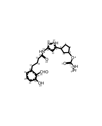 CC(C)NC(=O)OC1CCC(c2cc(NC(=O)CCCc3cccc(O)c3C=O)n[nH]2)C1